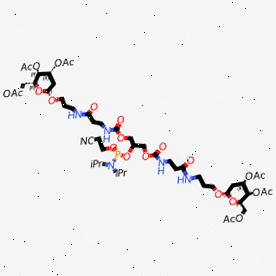 CC(=O)OC[C@H]1O[C@@H](OCCCNC(=O)CCNC(=O)OCC(COC(=O)NCCC(=O)NCCCO[C@H]2C[C@@H](OC(C)=O)[C@@H](OC(C)=O)[C@@H](COC(C)=O)O2)OP(OCCC#N)N(C(C)C)C(C)C)C[C@@H](OC(C)=O)[C@H]1OC(C)=O